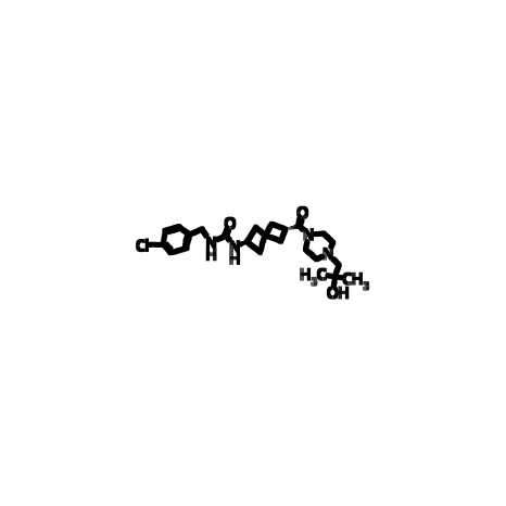 CC(C)(O)CN1CCN(C(=O)[C@H]2CC3(C[C@H](NC(=O)NCc4ccc(Cl)cc4)C3)C2)CC1